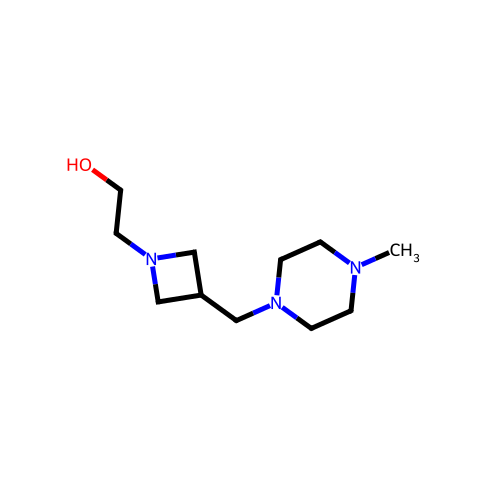 CN1CCN(CC2CN(CCO)C2)CC1